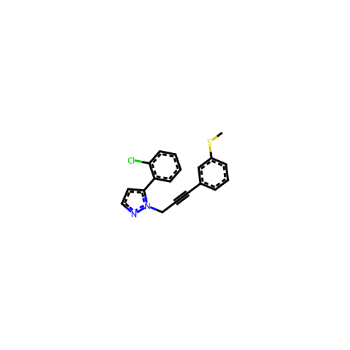 CSc1cccc(C#CCn2nccc2-c2ccccc2Cl)c1